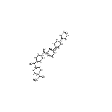 CC(=O)N1CCN(C(=O)c2ccc(Nc3nccc(-c4ccc(N5CCOCC5)cc4)n3)cc2)CC1